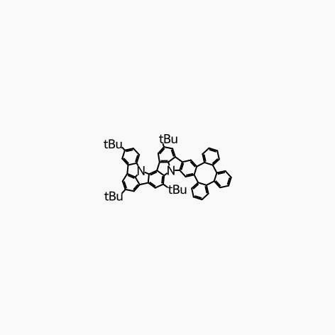 CC(C)(C)c1ccc2c(c1)c1cc(C(C)(C)C)cc3c4cc(C(C)(C)C)c5c(c6cc(C(C)(C)C)cc7c8cc9c(cc8n5c76)-c5ccccc5-c5ccccc5-c5ccccc5-9)c4n2c13